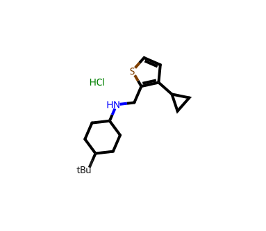 CC(C)(C)C1CCC(NCc2sccc2C2CC2)CC1.Cl